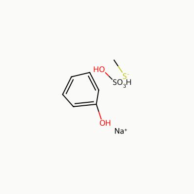 C[S-].O=S(=O)(O)O.Oc1ccccc1.[Na+]